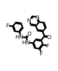 O=C(Nc1cccc(F)c1)Nc1cc(F)c(F)c(C(=O)c2ccc3ncncc3c2)c1